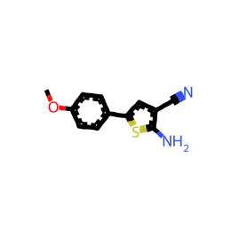 COc1ccc(-c2cc(C#N)c(N)s2)cc1